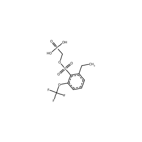 CCc1cccc(OC(F)(F)F)c1S(=O)(=O)OCP(=O)(O)O